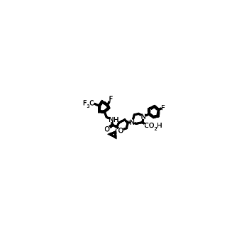 O=C(O)C1CN([C@@H]2CC[C@@](C(=O)NCc3cc(F)cc(C(F)(F)F)c3)(C3CC3)OC2)CCN1c1ccc(F)cc1